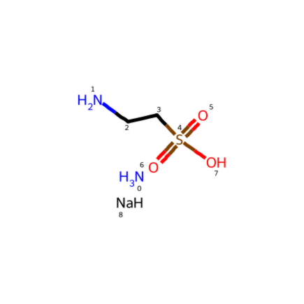 N.NCCS(=O)(=O)O.[NaH]